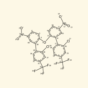 O=[N+]([O-])c1ccc(Oc2ccc([N+](=O)[O-])cc2-c2ccc(C(F)(F)F)cc2Cl)c(-c2ccc(C(F)(F)F)cc2Cl)c1